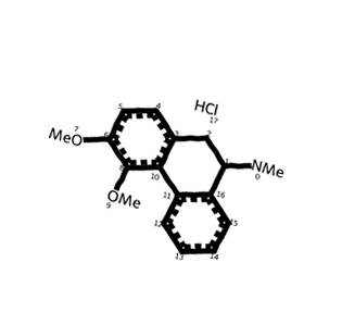 CNC1Cc2ccc(OC)c(OC)c2-c2ccccc21.Cl